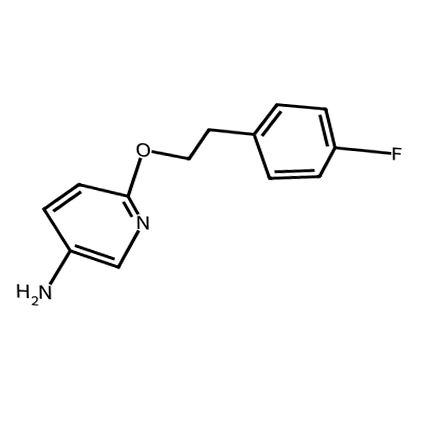 Nc1ccc(OCCc2ccc(F)cc2)nc1